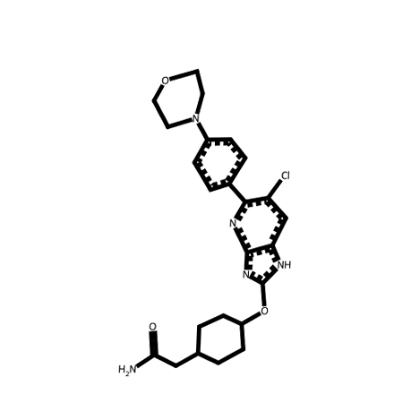 NC(=O)CC1CCC(Oc2nc3nc(-c4ccc(N5CCOCC5)cc4)c(Cl)cc3[nH]2)CC1